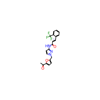 CC(=O)c1ccc(Cn2ccc(NC(=O)/C=C/c3ccccc3C(F)(F)F)n2)o1